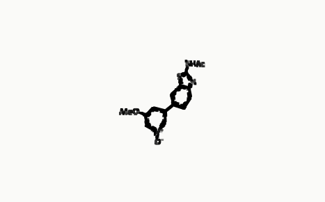 COc1cc(-c2ccc3nc(NC(C)=O)sc3c2)c[n+]([O-])c1